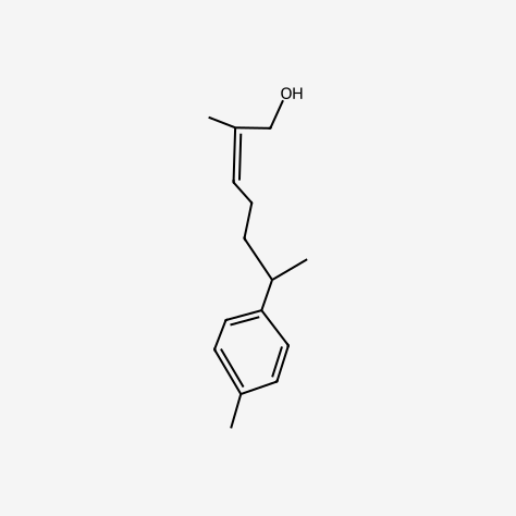 CC(=CCCC(C)c1ccc(C)cc1)CO